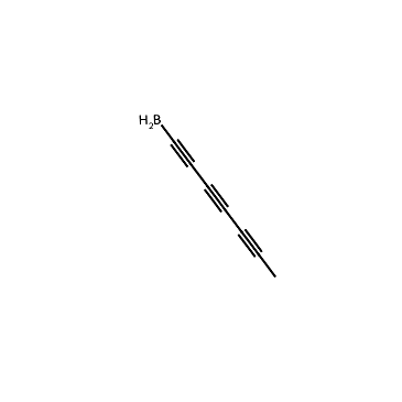 BC#CC#CC#CC